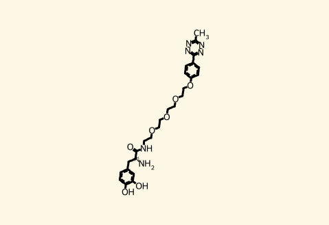 Cc1nnc(-c2ccc(OCCOCCOCCOCCNC(=O)[C@H](N)Cc3ccc(O)c(O)c3)cc2)nn1